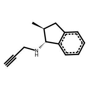 C#CCN[C@H]1c2ccccc2C[C@@H]1C